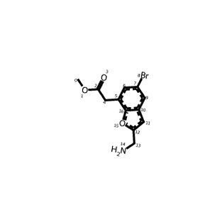 COC(=O)Cc1cc(Br)cc2cc(CN)oc12